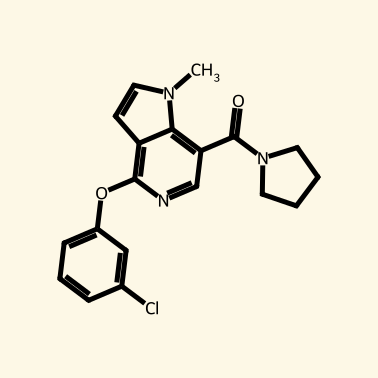 Cn1ccc2c(Oc3cccc(Cl)c3)ncc(C(=O)N3CCCC3)c21